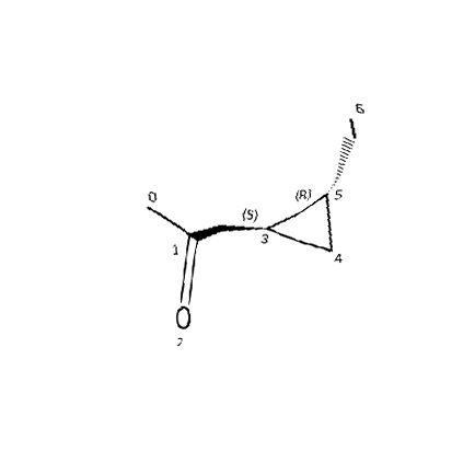 CC(=O)[C@@H]1C[C@H]1I